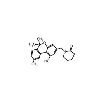 Cc1ccc2c(c1)-c1c(O)cc(CN3CCCCC3=O)cc1OC2(C)C